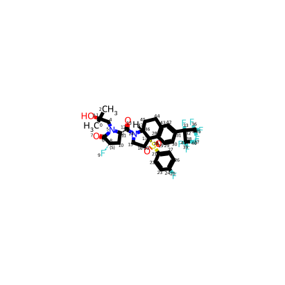 CC(C)(O)CN1C(=O)[C@@H](F)C[C@H]1C(=O)N1CC[C@@]2(S(=O)(=O)c3ccc(F)cc3)c3ccc(C(F)(C(F)(F)F)C(F)(F)F)cc3CC[C@@H]12